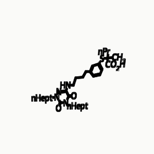 CCCCCCCn1nc(NCCCCc2cccc(SC(C)(CCC)C(=O)O)c2)c(=O)n(CCCCCCC)c1=O